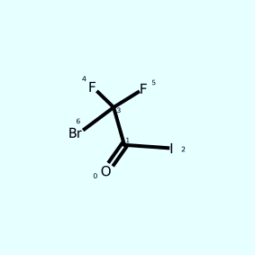 O=C(I)C(F)(F)Br